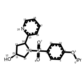 CC(C)Oc1ccc(S(=O)(=O)N2C[C@@H](O)CC2c2ccccn2)cc1